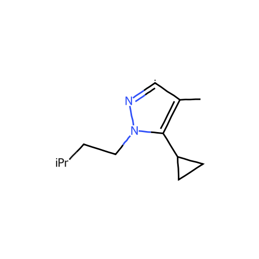 Cc1[c]nn(CCC(C)C)c1C1CC1